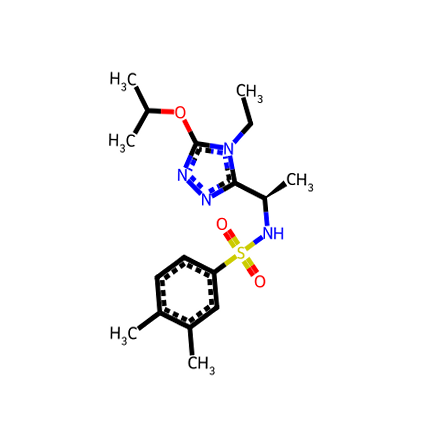 CCn1c(OC(C)C)nnc1[C@@H](C)NS(=O)(=O)c1ccc(C)c(C)c1